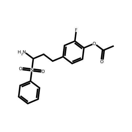 CC(=O)Oc1ccc(CCC(N)S(=O)(=O)c2ccccc2)cc1F